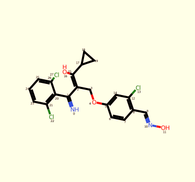 N=C(/C(COc1ccc(/C=N/O)c(Cl)c1)=C(\O)C1CC1)c1c(Cl)cccc1Cl